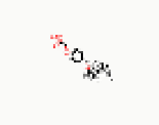 CC(C)(C)[Si](C)(C)OCc1ccc(OCC(=O)O)cc1